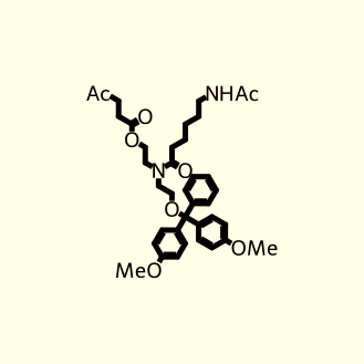 COc1ccc(C(OCCN(CCOC(=O)CCC(C)=O)C(=O)CCCCCNC(C)=O)(c2ccccc2)c2ccc(OC)cc2)cc1